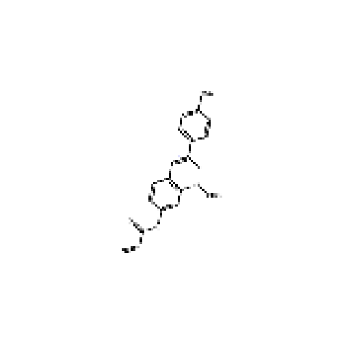 C=CC(=O)Oc1ccc(/C=C(\C)c2ccc(OC)cc2)c(OC=O)c1